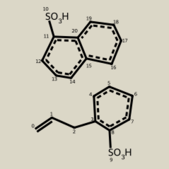 C=CCc1ccccc1S(=O)(=O)O.O=S(=O)(O)c1cccc2ccccc12